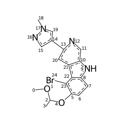 COC(C)Oc1ccc2[nH]c3cnc(-c4cnn(C)c4)cc3c2c1Br